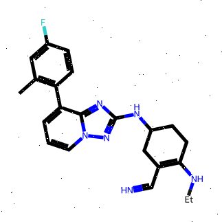 CCNC1=C(C=N)CC(Nc2nc3c(-c4ccc(F)cc4C)cccn3n2)CC1